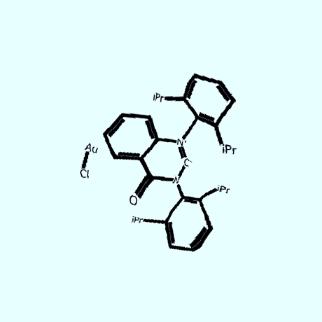 CC(C)c1cccc(C(C)C)c1-n1[c-][n+](-c2c(C(C)C)cccc2C(C)C)c2ccccc2c1=O.[Cl][Au]